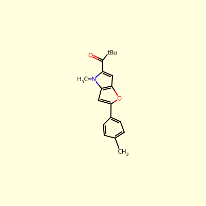 Cc1ccc(-c2cc3c(cc(C(=O)C(C)(C)C)n3C)o2)cc1